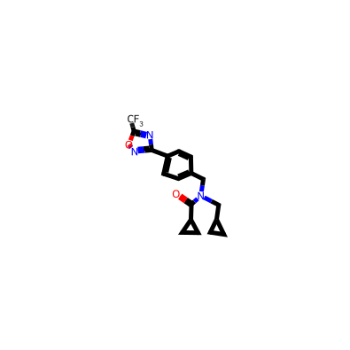 O=C(C1CC1)N(Cc1ccc(-c2noc(C(F)(F)F)n2)cc1)CC1CC1